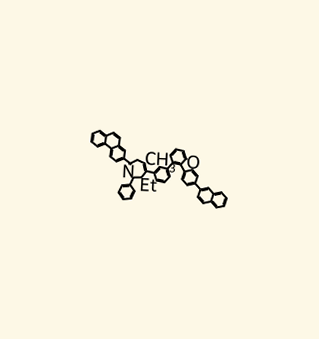 CCC1C(c2cccc(-c3cccc4oc5cc(-c6ccc7ccccc7c6)ccc5c34)c2)=C(C)CC(c2ccc3c(ccc4ccccc43)c2)=NC1c1ccccc1